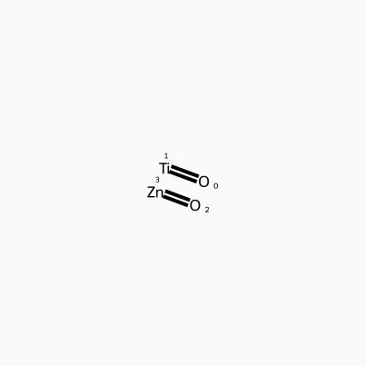 [O]=[Ti].[O]=[Zn]